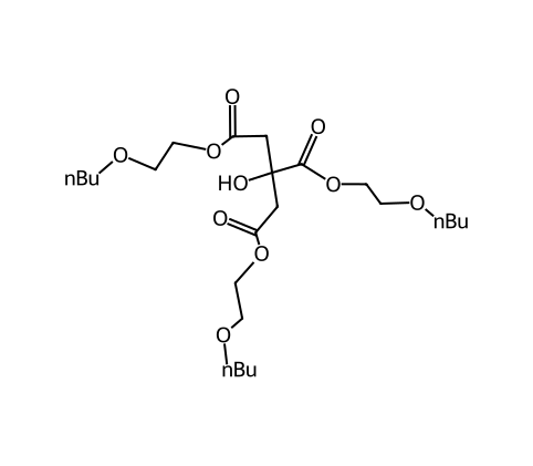 CCCCOCCOC(=O)CC(O)(CC(=O)OCCOCCCC)C(=O)OCCOCCCC